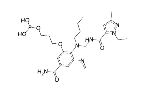 C=Nc1cc(C(N)=O)cc(OCCCOP(O)O)c1N(CCCC)CNC(=O)c1cc(C)nn1CC